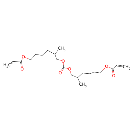 C=CC(=O)OCCCCC(C)COC(=O)OCC(C)CCCCOC(=O)C=C